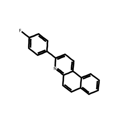 Fc1ccc(-c2ccc3c(ccc4ccccc43)n2)cc1